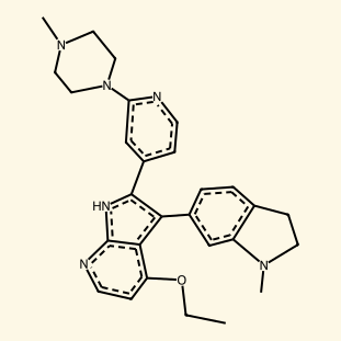 CCOc1ccnc2[nH]c(-c3ccnc(N4CCN(C)CC4)c3)c(-c3ccc4c(c3)N(C)CC4)c12